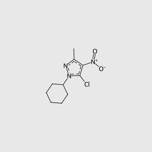 Cc1nn(C2CCCCC2)c(Cl)c1[N+](=O)[O-]